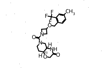 Cc1ccc(COC2CN(C(=O)N3CC[C@@H]4OCC(=O)N[C@@H]4C3)C2)c(C(F)(F)F)c1